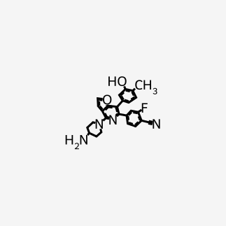 Cc1ccc(-c2c(-c3ccc(C#N)c(F)c3)nc(N3CCC(N)CC3)c3ccoc23)cc1O